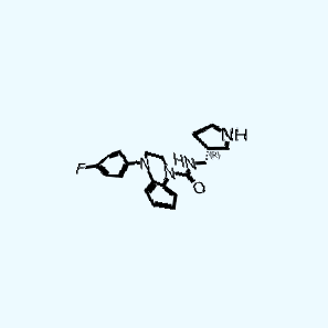 O=C(NC[C@@H]1CCNC1)N1CCN(c2ccc(F)cc2)c2ccccc21